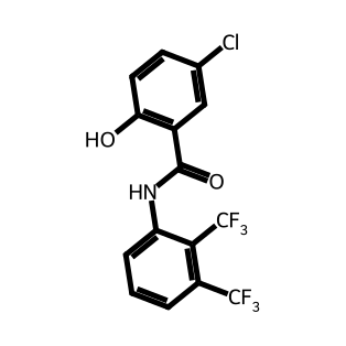 O=C(Nc1cccc(C(F)(F)F)c1C(F)(F)F)c1cc(Cl)ccc1O